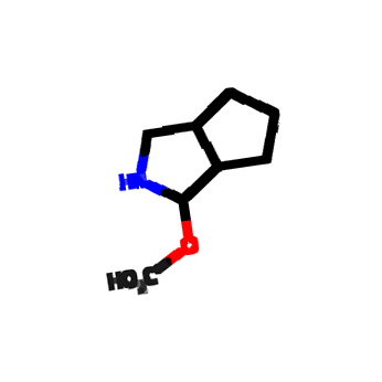 O=C(O)OC1NCC2CCCC21